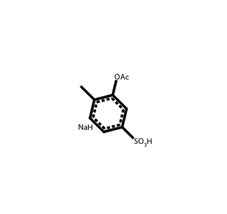 CC(=O)Oc1cc(S(=O)(=O)O)ccc1C.[NaH]